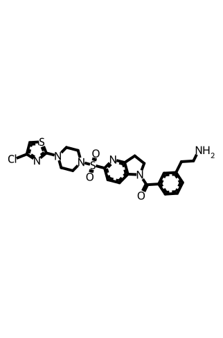 NCCc1cccc(C(=O)N2CCc3nc(S(=O)(=O)N4CCN(c5nc(Cl)cs5)CC4)ccc32)c1